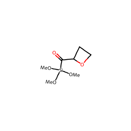 CO[Si](OC)(OC)C(=O)C1CCO1